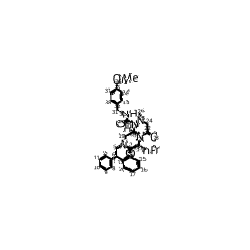 CCC[C@H]1C(=O)N(CC(c2ccccc2)c2ccccc2)C[C@H]2N1C(=O)CN(C)N2C(=O)NCc1ccc(OC)cc1